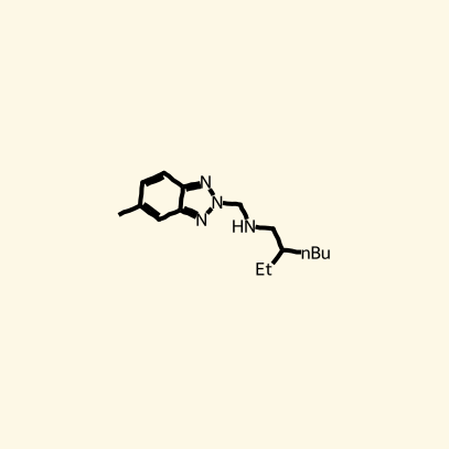 CCCCC(CC)CNCn1nc2ccc(C)cc2n1